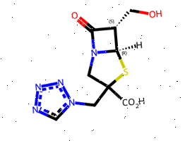 O=C1[C@H](CO)[C@H]2SC(Cn3cnnn3)(C(=O)O)CN12